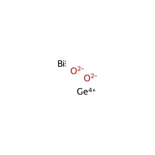 [Bi].[Ge+4].[O-2].[O-2]